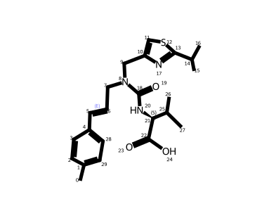 Cc1ccc(/C=C/CN(Cc2csc(C(C)C)n2)C(=O)N[C@H](C(=O)O)C(C)C)cc1